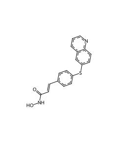 O=C(/C=C/c1ccc(Sc2ccc3ncccc3c2)cc1)NO